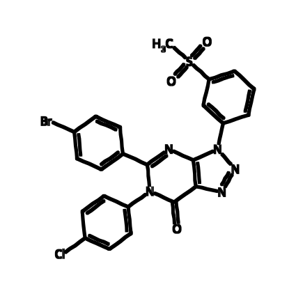 CS(=O)(=O)c1cccc(-n2nnc3c(=O)n(-c4ccc(Cl)cc4)c(-c4ccc(Br)cc4)nc32)c1